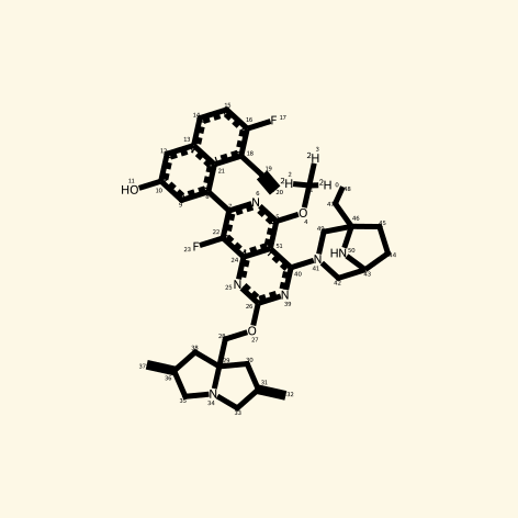 [2H]C([2H])([2H])Oc1nc(-c2cc(O)cc3ccc(F)c(C#C)c23)c(F)c2nc(OCC34CC(=C)CN3CC(=C)C4)nc(N3CC4CCC(CC)(C3)N4)c12